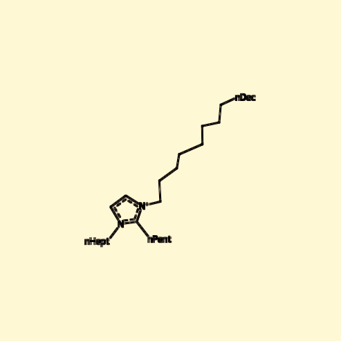 CCCCCCCCCCCCCCCCCC[n+]1ccn(CCCCCCC)c1CCCCC